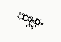 CNC(=O)c1c(-c2ccc(F)cc2)oc2cc(Br)c(OC)cc12